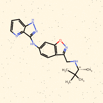 C[C@@H](NCc1noc2cc(Nc3n[nH]c4cccnc34)ccc12)C(C)(C)C